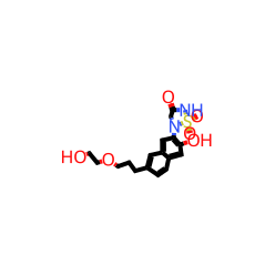 O=C1CN(c2cc3cc(CCCOCCO)ccc3cc2O)S(=O)(=O)N1